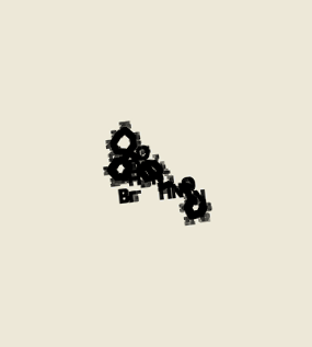 O=C(NCC[N+]12CCC(CC1)[C@@H](OC(=O)C1(c3ccccc3)CCCCCC1)C2)c1ccccn1.[Br-]